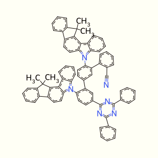 CC1(C)c2ccccc2-c2ccc3c(c21)c1ccccc1n3-c1ccc(-c2nc(-c3ccccc3)nc(-c3ccccc3)n2)cc1-c1ccc(-n2c3ccccc3c3c4c(ccc32)-c2ccccc2C4(C)C)c(-c2ccccc2C#N)c1